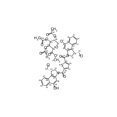 COC(=O)C1O[C@@H](Oc2cc3c(c4ccccc24)[C@H](CCl)CN3C(=O)c2ccc(C(=O)N3C[C@@H](CCl)c4c3cc(O)c3ccccc43)s2)[C@@H](OC(C)=O)C(OC(C)=O)[C@@H]1OC(C)=O